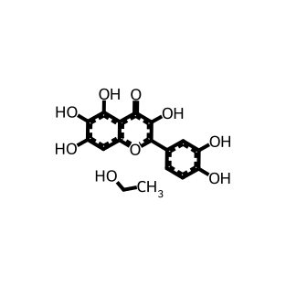 CCO.O=c1c(O)c(-c2ccc(O)c(O)c2)oc2cc(O)c(O)c(O)c12